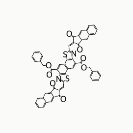 O=C1C(=Cc2nc3c(C(=O)OCc4ccccc4)cc4c(cc(C(=O)OCc5ccccc5)c5nc(C=C6C(=O)c7cc8ccccc8cc7C6=O)sc54)c3s2)C(=O)c2cc3ccccc3cc21